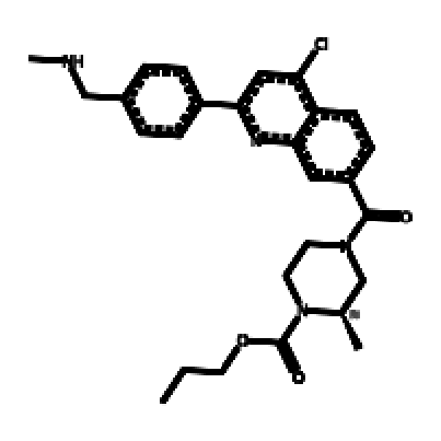 CCCOC(=O)N1CCN(C(=O)c2ccc3c(Cl)cc(-c4ccc(CNC)cc4)nc3c2)C[C@H]1C